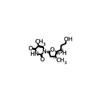 [2H][C@@H](CCO)[C@H]1O[C@@H](n2cc(C)c(=O)[nH]c2=O)C[C@@H]1C